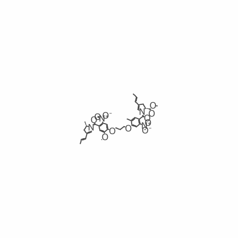 C/C=C/C1=CN(C(=O)c2cc(OC)c(OCCCOc3cc([N+](=O)[O-])c(C(=O)N4C=C(/C=C/C)C[C@H]4C(=O)OC)cc3C)cc2[N+](=O)[O-])[C@H](C)C1